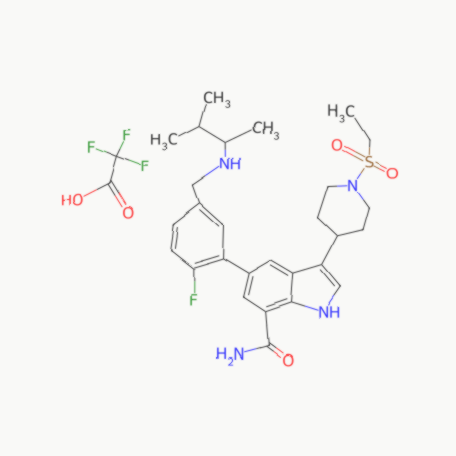 CCS(=O)(=O)N1CCC(c2c[nH]c3c(C(N)=O)cc(-c4cc(CNC(C)C(C)C)ccc4F)cc23)CC1.O=C(O)C(F)(F)F